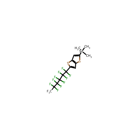 [CH3][Sn]([CH3])([CH3])[c]1cc2sc(C(F)(F)C(F)(F)C(F)(F)C(F)(F)C(F)(F)C(F)(F)F)cc2s1